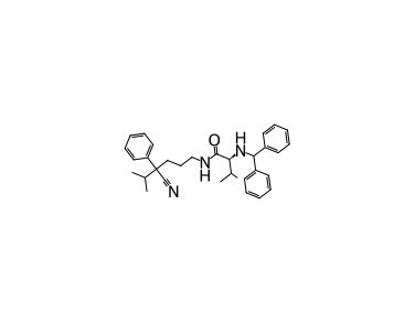 CC(C)[C@H](NC(c1ccccc1)c1ccccc1)C(=O)NCCCC(C#N)(c1ccccc1)C(C)C